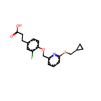 O=C(O)CCc1ccc(OCc2cccc(SCC3CC3)n2)c(F)c1